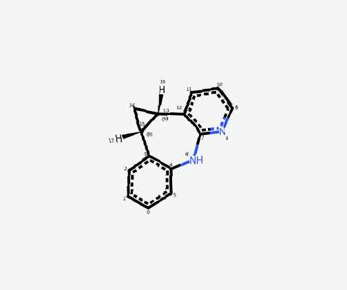 c1ccc2c(c1)Nc1ncccc1[C@H]1C[C@@H]21